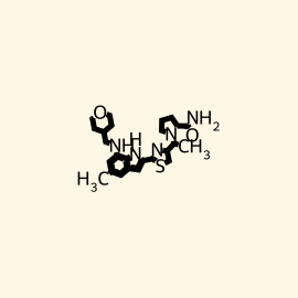 Cc1cc(NCC2CCOCC2)c2[nH]c(C3=NC(C(C)N4CCCC4C(N)=O)CS3)cc2c1